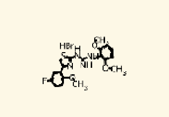 Br.COc1ccc(F)cc1-c1csc(NC(=N)NCc2c(OC)cccc2OC)n1